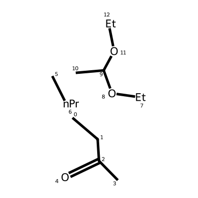 CCC(C)=O.CCCC.CCOC(C)OCC